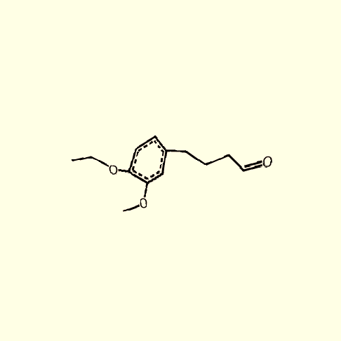 CCOc1ccc(CCCC=O)cc1OC